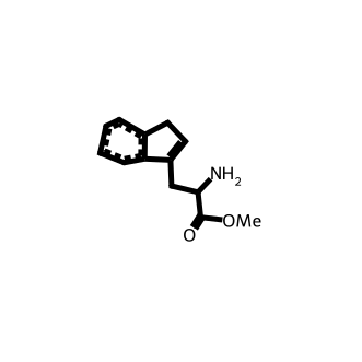 COC(=O)C(N)CC1=CCc2ccccc21